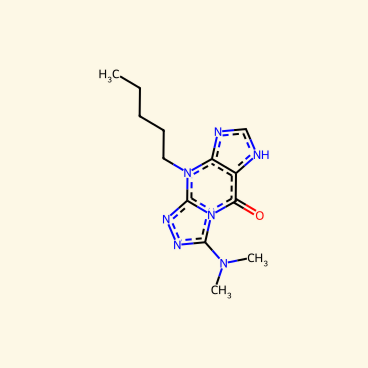 CCCCCn1c2nc[nH]c2c(=O)n2c(N(C)C)nnc12